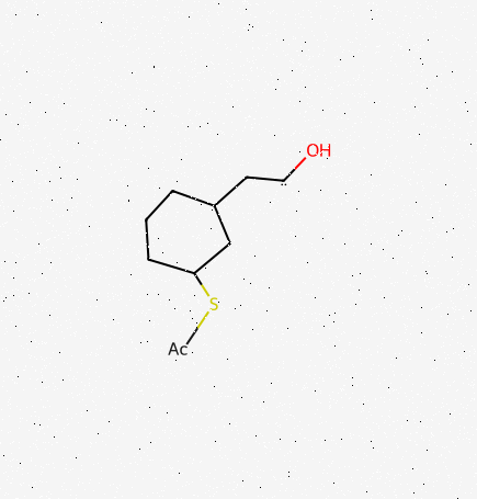 CC(=O)SC1CCCC(C[C]O)C1